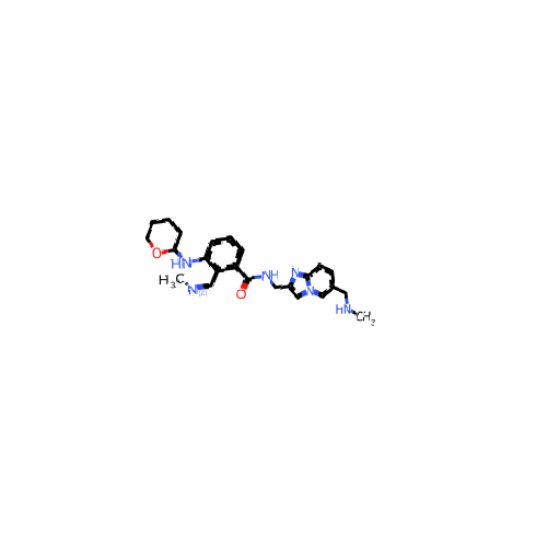 C/N=C\c1c(NC2CCCCO2)cccc1C(=O)NCc1cn2cc(CNC)ccc2n1